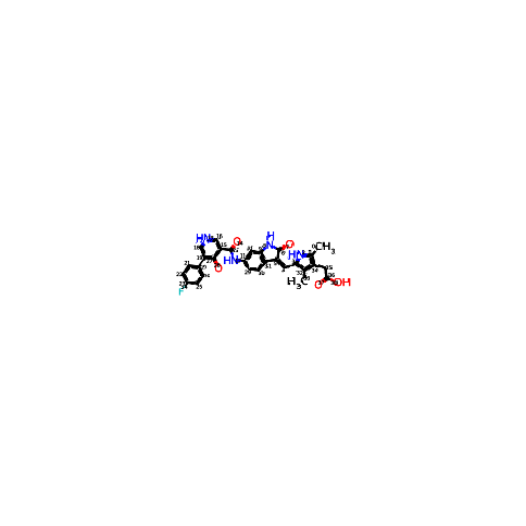 Cc1[nH]c(/C=C2\C(=O)Nc3cc(NC(=O)c4c[nH]cc(-c5ccc(F)cc5)c4=O)ccc32)c(C)c1CC(=O)O